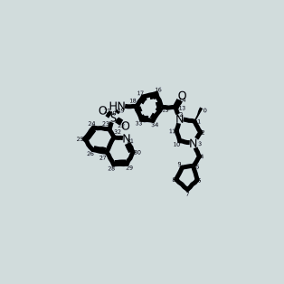 C[C@H]1CN(CC2CCCC2)CCN1C(=O)c1ccc(NS(=O)(=O)C2C=CC=C3C=CC=NC32)cc1